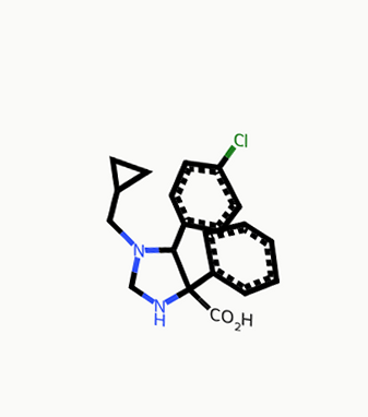 O=C(O)C1(c2ccccc2)NCN(CC2CC2)C1c1ccc(Cl)cc1